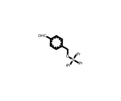 CC(C)[Si](OCc1ccc(C=O)cc1)(C(C)C)C(C)C